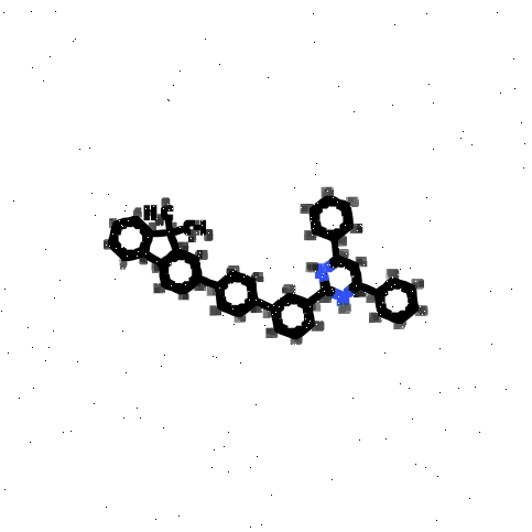 CC1(C)c2ccccc2-c2ccc(-c3ccc(-c4cccc(-c5nc(-c6ccccc6)cc(-c6ccccc6)n5)c4)cc3)cc21